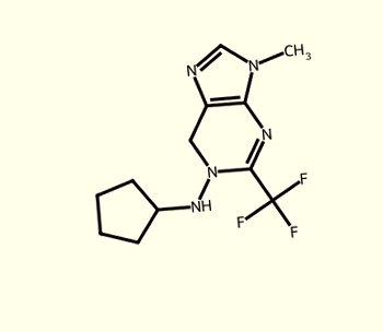 Cn1cnc2c1N=C(C(F)(F)F)N(NC1CCCC1)C2